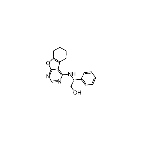 OC[C@@H](Nc1ncnc2oc3c(c12)CCCC3)c1ccccc1